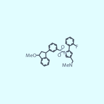 CNCc1cc(-c2ccccc2F)n(S(=O)(=O)c2cccc(C3CC(OC)c4ccccc43)c2)c1